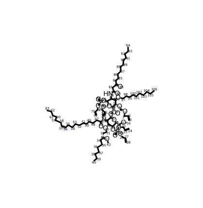 C=CCOC(=O)O[C@@H]1[C@@H](OO[C@@H]2O[C@H](COC)C(OP(=O)(OCC=C)OCC=C)[C@H](OCC[C@@H](CCCCCCC)OC)[C@H]2NC(=O)CCCCCCCCC/C=C\CCCCCC)OC(OP(=O)(OCC=C)OCC=C)C(NC(=O)CC(=O)CCCCCCCCCCC)[C@H]1OCCCCCCCCCC